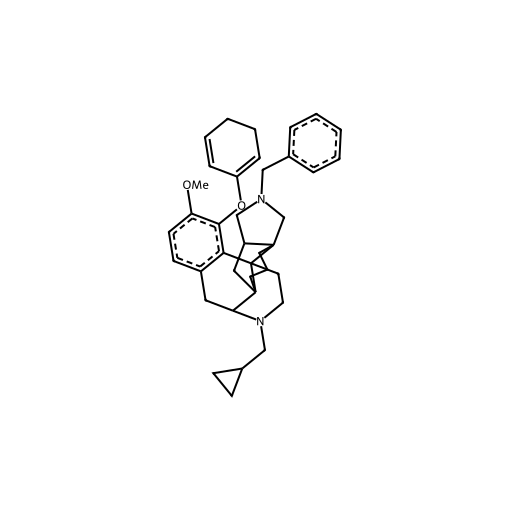 COc1ccc2c(c1OC1=CCCC=C1)C13CCN(CC4CC4)C(C2)C12CCCC31CN(Cc3ccccc3)CC1C2